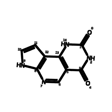 O=c1[nH]c(=O)c2cnc3[nH]ccc3c2[nH]1